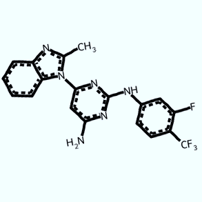 Cc1nc2ccccc2n1-c1cc(N)nc(Nc2ccc(C(F)(F)F)c(F)c2)n1